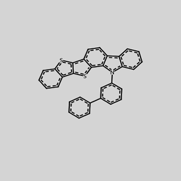 c1ccc(-c2cccc(-n3c4ccccc4c4ccc5c6sc7ccccc7c6sc5c43)c2)cc1